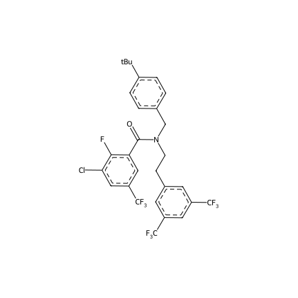 CC(C)(C)c1ccc(CN(CCc2cc(C(F)(F)F)cc(C(F)(F)F)c2)C(=O)c2cc(C(F)(F)F)cc(Cl)c2F)cc1